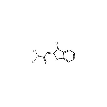 CCN(CC)C(=O)/C=C1\Sc2ccccc2N1CC